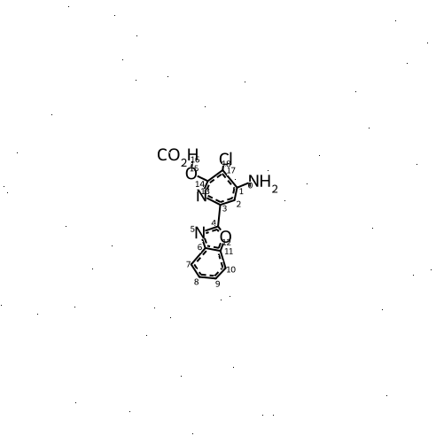 Nc1cc(-c2nc3ccccc3o2)nc(OC(=O)O)c1Cl